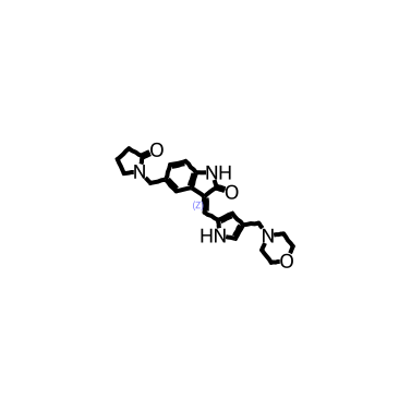 O=C1Nc2ccc(CN3CCCC3=O)cc2/C1=C/c1cc(CN2CCOCC2)c[nH]1